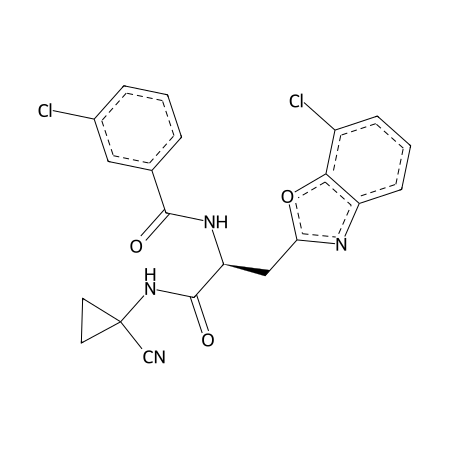 N#CC1(NC(=O)[C@H](Cc2nc3cccc(Cl)c3o2)NC(=O)c2cccc(Cl)c2)CC1